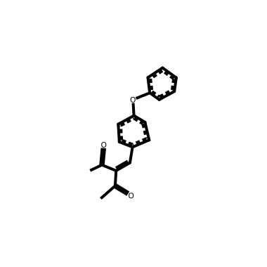 CC(=O)C(=Cc1ccc(Oc2ccccc2)cc1)C(C)=O